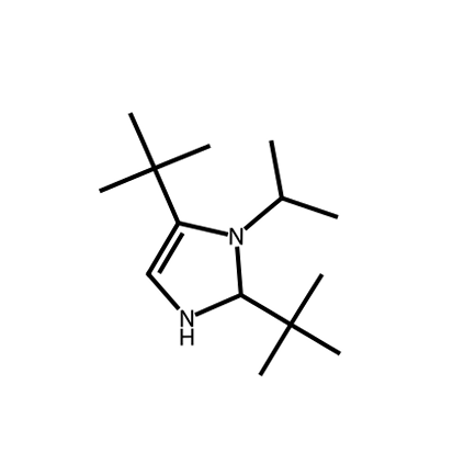 CC(C)N1C(C(C)(C)C)=CNC1C(C)(C)C